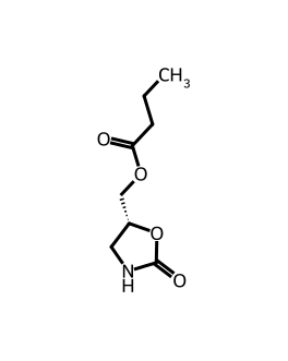 CCCC(=O)OC[C@H]1CNC(=O)O1